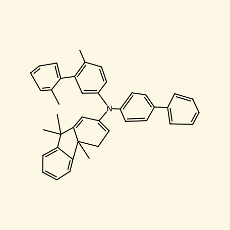 Cc1ccccc1-c1cc(N(C2=CCC3(C)C(=C2)C(C)(C)c2ccccc23)c2ccc(-c3ccccc3)cc2)ccc1C